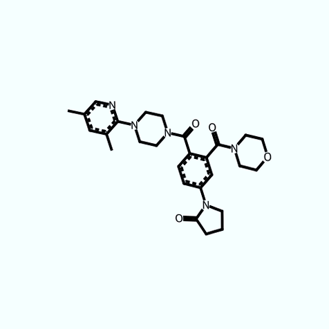 Cc1cnc(N2CCN(C(=O)c3ccc(N4CCCC4=O)cc3C(=O)N3CCOCC3)CC2)c(C)c1